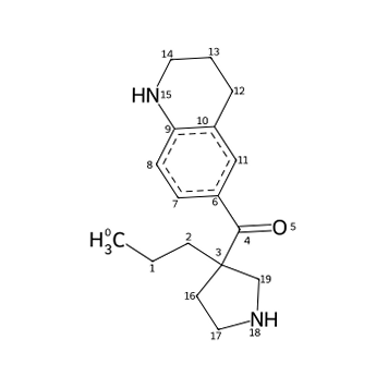 CCCC1(C(=O)c2ccc3c(c2)CCCN3)CCNC1